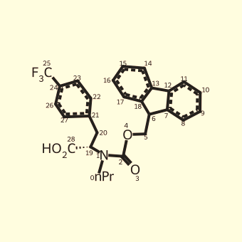 CCCN(C(=O)OCC1c2ccccc2-c2ccccc21)[C@@H](Cc1ccc(C(F)(F)F)cc1)C(=O)O